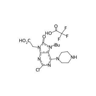 CCC(C)n1c(=O)n(CC(=O)O)c2nc(Cl)nc(N3CCNCC3)c21.O=C(O)C(F)(F)F